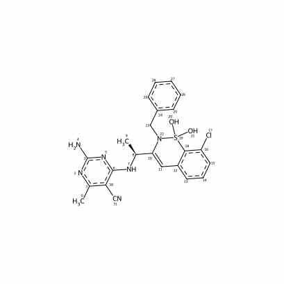 Cc1nc(N)nc(N[C@@H](C)C2=Cc3cccc(Cl)c3S(O)(O)N2Cc2ccccc2)c1C#N